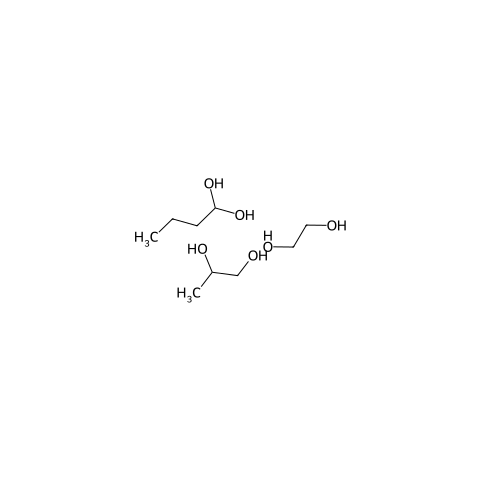 CC(O)CO.CCCC(O)O.OCCO